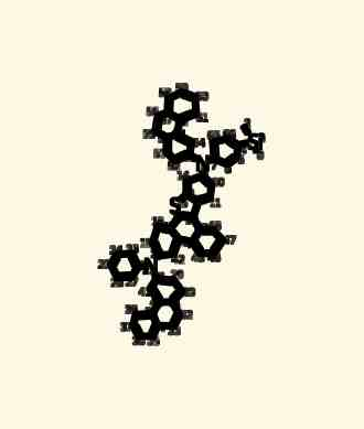 C[Si](C)(C)c1ccc(N(c2ccc3c(c2)sc2c4ccc(N(c5ccccc5)c5ccc6ccc7ccccc7c6c5)cc4c4ccccc4c32)c2ccc3ccc4ccccc4c3c2)cc1